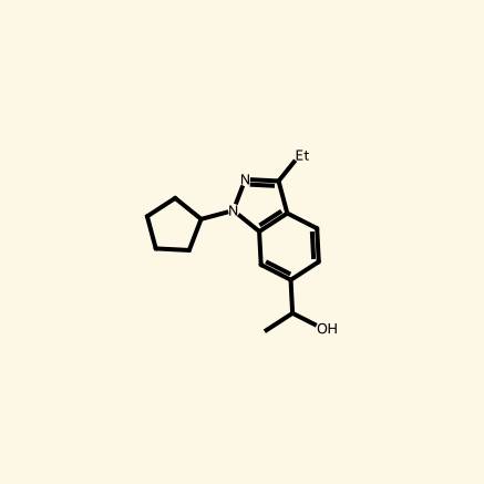 CCc1nn(C2CCCC2)c2cc(C(C)O)ccc12